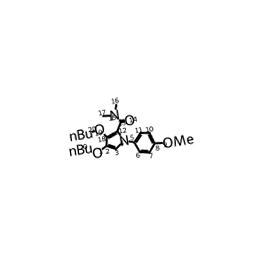 CCCCOc1cn(-c2ccc(OC)cc2)c(C(=O)N(C)C)c1OCCCC